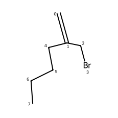 C=C(CBr)CCCC